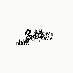 CCCCNC(=O)N1CCC(CN(C)c2nc(N)c3cc(OC)c(OC)cc3n2)(c2ccccn2)CC1